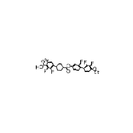 CCCC(O)c1ccc(C2CCC(C(=O)Oc3ccc(-c4ccc(OCC)c(F)c4F)c(F)c3)CC2)c(F)c1F